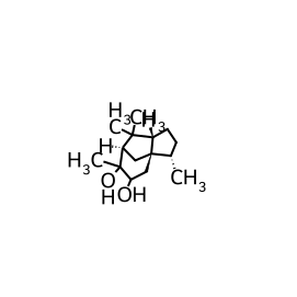 C[C@H]1CC[C@H]2C(C)(C)[C@H]3C[C@@]12CC(O)C3(C)O